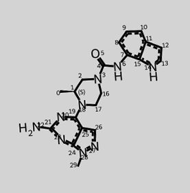 C[C@H]1CN(C(=O)Nc2cccc3cc[nH]c23)CCN1c1nc(N)nc2c1cnn2C